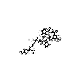 CN(CCCCN(C(=O)O)c1ccc(C=O)cc1)C(=O)CO[C@H]1Cc2ccccc2C12CCN(CC[C@@]1(c3ccc(Cl)c(Cl)c3)CN(C(=O)c3cc(C(F)(F)F)cc(C(F)(F)F)c3)CCO1)CC2